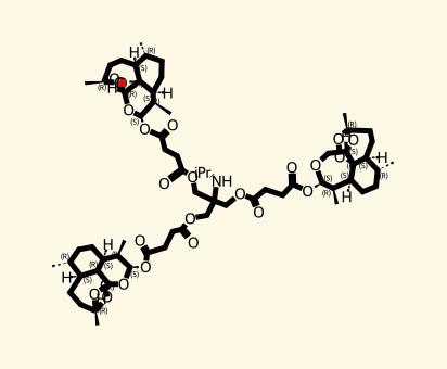 CC(C)NC(COC(=O)CCC(=O)O[C@@H]1O[C@@H]2O[C@@]3(C)CC[C@H]4[C@H](C)CC[C@@H]([C@H]1C)[C@@]24OO3)(COC(=O)CCC(=O)O[C@@H]1O[C@@H]2O[C@@]3(C)CC[C@H]4[C@H](C)CC[C@@H]([C@H]1C)[C@@]24OO3)COC(=O)CCC(=O)O[C@@H]1OC[C@@H]2O[C@@]3(C)CC[C@H]4[C@H](C)CC[C@@H]([C@H]1C)[C@@]24OO3